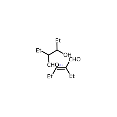 CC/C=C(/C=O)CC.CCC(O)C(C=O)CC